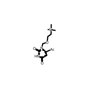 CC(=O)c1cc(=O)[nH]c(=O)n1COCC[Si](C)(C)C